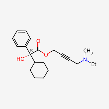 CCN(C)CC#CCOC(=O)[C@](O)(c1ccccc1)C1CCCCC1